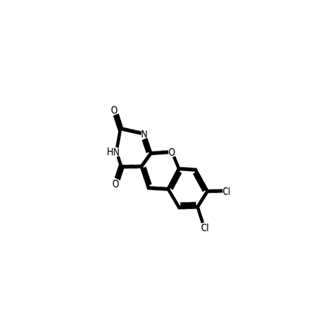 O=c1nc2oc3cc(Cl)c(Cl)cc3cc-2c(=O)[nH]1